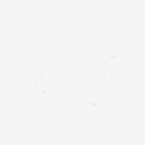 CCn1ncc2c1-c1cnc(N)c(c1)OCc1cc(F)ccc1-c1nn(C)nc1C2